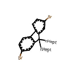 CCCCCCCC1(CCCCCCC)c2cc(Br)ccc2-c2ccc(Br)cc21